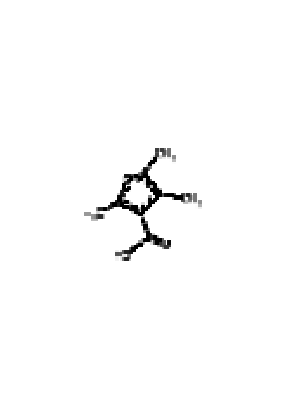 Cc1sc(C)c(C(=O)O)c1C